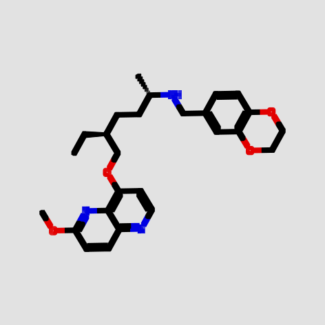 CC[C@@H](CC[C@H](C)NCc1ccc2c(c1)OCCO2)COc1ccnc2ccc(OC)nc12